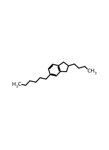 CCCCCCc1ccc2c(c1)CC(CCCC)C2